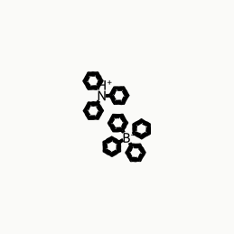 c1ccc([B-](c2ccccc2)(c2ccccc2)c2ccccc2)cc1.c1ccc([NH+](c2ccccc2)c2ccccc2)cc1